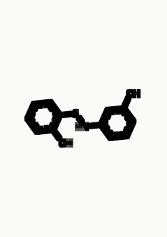 Oc1cccc(NSc2ccccc2O)c1